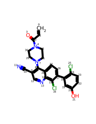 C=CC(=O)N1CCN(c2c(C#N)cnc3c(Cl)c(-c4cc(O)ccc4Cl)ccc23)CC1